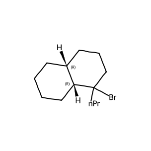 CCCC1(Br)CCC[C@H]2CCCC[C@H]21